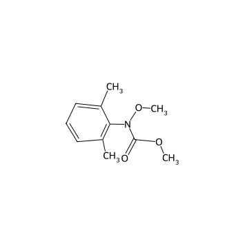 COC(=O)N(OC)c1c(C)cccc1C